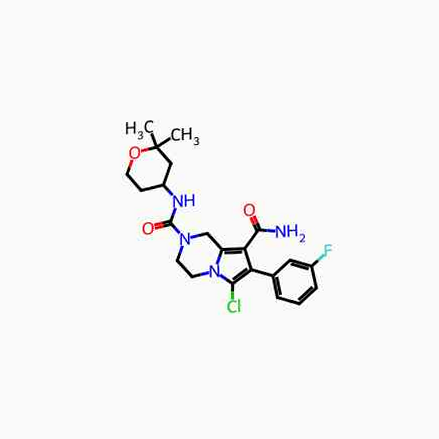 CC1(C)CC(NC(=O)N2CCn3c(Cl)c(-c4cccc(F)c4)c(C(N)=O)c3C2)CCO1